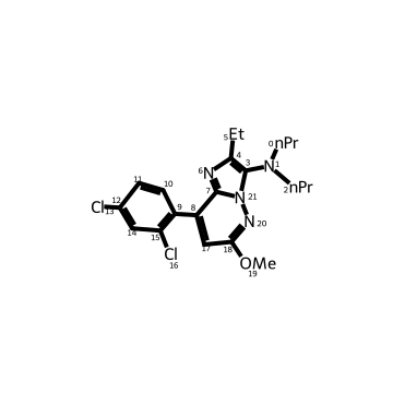 CCCN(CCC)c1c(CC)nc2c(-c3ccc(Cl)cc3Cl)cc(OC)nn12